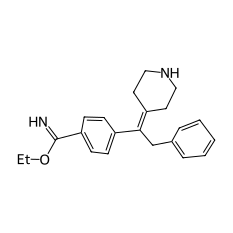 CCOC(=N)c1ccc(C(Cc2ccccc2)=C2CCNCC2)cc1